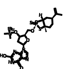 C=C(C)[C@H]1CC[C@@]2(C)S[P@](=S)(OC[C@H]3O[C@@H](n4cnc5c(=O)[nH]c(O)nc54)CC3O[Si](C)(C)C(C)(C)C)O[C@@H]2C1